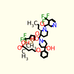 CCC[C@H]1N(C(=O)c2cnccc2C(F)(F)F)CCC[C@@]1(Oc1csc(C(F)(F)F)c1)C(O)N1CCC(O)(c2ccccc2OCCCC(C)(C)C(=O)O)CC1